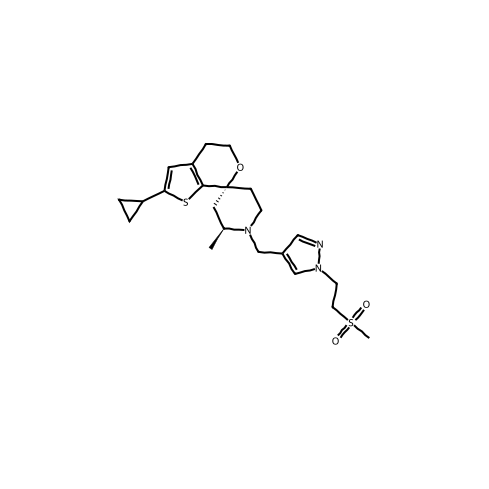 C[C@H]1C[C@@]2(CCN1Cc1cnn(CCS(C)(=O)=O)c1)OCCc1cc(C3CC3)sc12